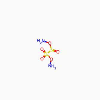 NOS(=O)S(=O)(=O)ON